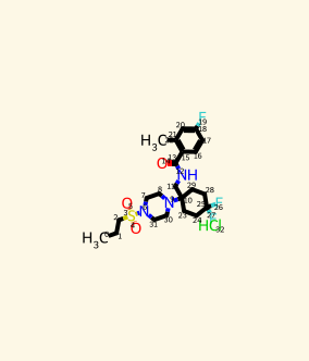 CCCS(=O)(=O)N1CCN(C2(CNC(=O)c3ccc(F)cc3C)CCC(F)(F)CC2)CC1.Cl